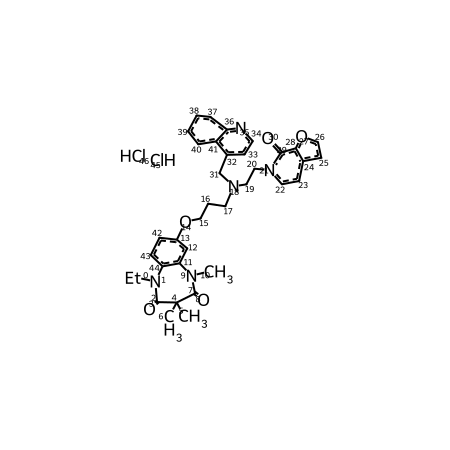 CCN1C(=O)C(C)(C)C(=O)N(C)c2cc(OCCCN(CCn3ccc4ccoc4c3=O)Cc3ccnc4ccccc34)ccc21.Cl.Cl